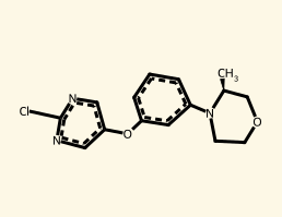 C[C@H]1COCCN1c1cccc(Oc2cnc(Cl)nc2)c1